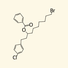 O=C(OC(CCCCCCCBr)CCc1ccc(Cl)cc1)c1ccccc1